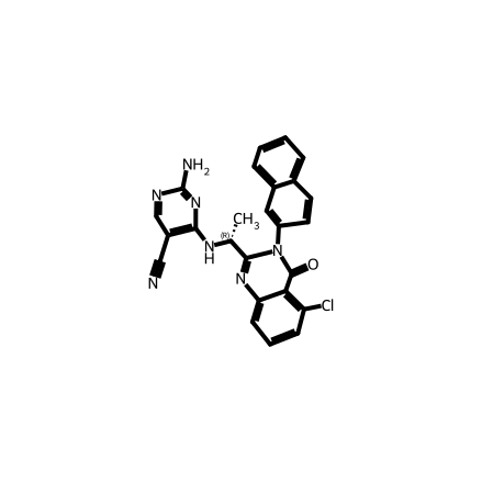 C[C@@H](Nc1nc(N)ncc1C#N)c1nc2cccc(Cl)c2c(=O)n1-c1ccc2ccccc2c1